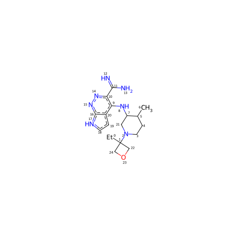 CCC1(N2CCC(C)C(Nc3c(C(=N)N)nnc4[nH]ccc34)C2)COC1